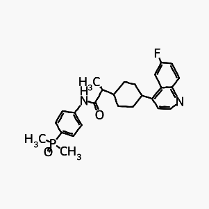 C[C@H](C(=O)Nc1ccc(P(C)(C)=O)cc1)C1CCC(c2ccnc3ccc(F)cc23)CC1